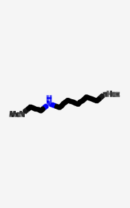 CCCCCCCCCCCNCCNC